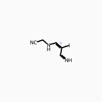 N#CCN/C=C(/I)C=N